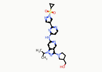 CC(C)n1nc(N2CCC(CO)C2)c2cnc(Nc3ccnc(-c4cnn(S(=O)(=O)C5CC5)c4)n3)cc21